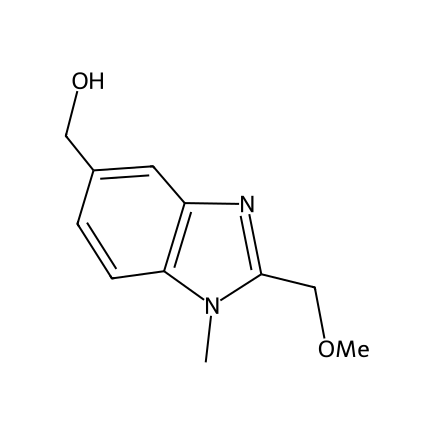 COCc1nc2cc(CO)ccc2n1C